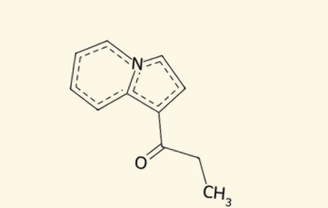 CCC(=O)c1ccn2ccccc12